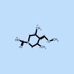 COC=C1C(C)CN(C(=O)O)CC1C